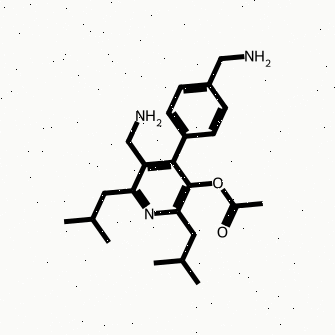 CC(=O)Oc1c(CC(C)C)nc(CC(C)C)c(CN)c1-c1ccc(CN)cc1